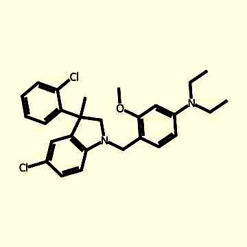 CCN(CC)c1ccc(CN2CC(C)(c3ccccc3Cl)c3cc(Cl)ccc32)c(OC)c1